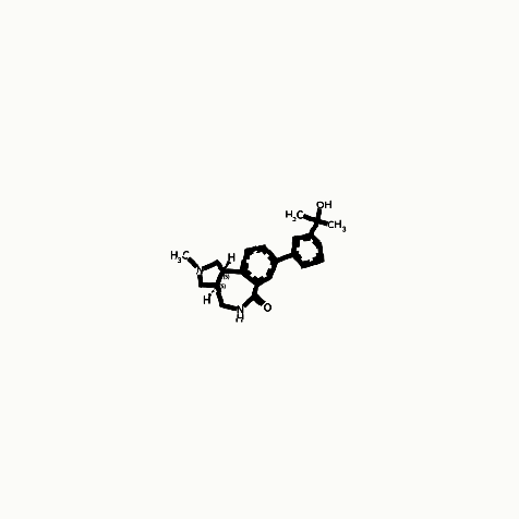 CN1C[C@@H]2CNC(=O)c3cc(-c4cccc(C(C)(C)O)c4)ccc3[C@H]2C1